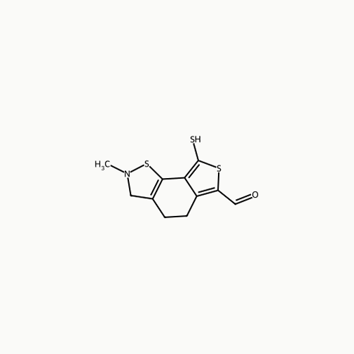 CN1CC2=C(S1)c1c(S)sc(C=O)c1CC2